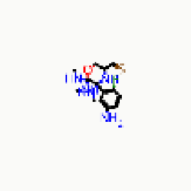 CNC1(NC)OCC(C=S)N[C@@]1(NC)c1cc(N)ccc1F